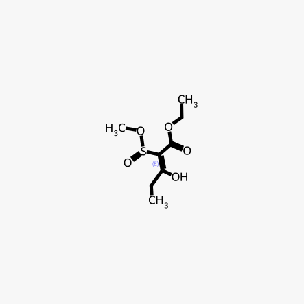 CCOC(=O)/C(=C(\O)CC)S(=O)OC